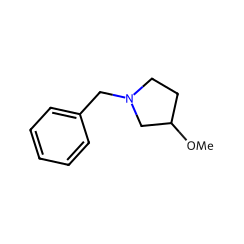 COC1CCN(Cc2ccccc2)C1